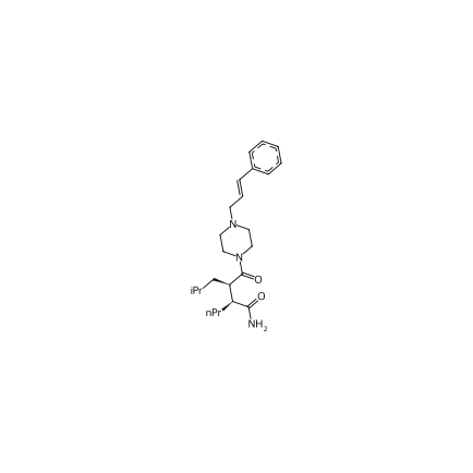 CCC[C@H](C(N)=O)[C@@H](CC(C)C)C(=O)N1CCN(CC=Cc2ccccc2)CC1